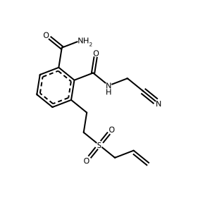 C=CCS(=O)(=O)CCc1cccc(C(N)=O)c1C(=O)NCC#N